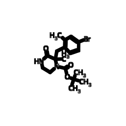 Cc1cc(Br)ccc1CC1(C)C(=O)NCCN1C(=O)OC(C)(C)C